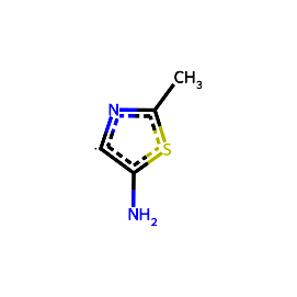 Cc1n[c]c(N)s1